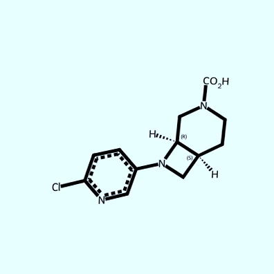 O=C(O)N1CC[C@H]2CN(c3ccc(Cl)nc3)[C@H]2C1